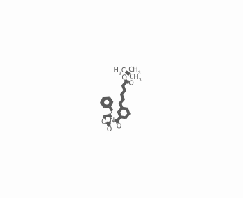 CC(C)(C)OC(=O)CCCCCC1CCCC(C(=O)N2C(=O)OC[C@@H]2Cc2ccccc2)C1